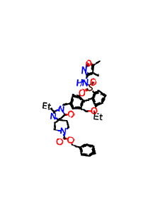 CCOCc1cc(CN2C(=O)C3(CCN(C(=O)OCc4ccccc4)CC3)N=C2CC)ccc1-c1ccccc1S(=O)(=O)Nc1noc(C)c1C